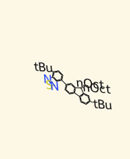 CCCCCCCCC1(CCCCCCCC)c2cc(-c3ccc(C(C)(C)C)c4nsnc34)ccc2-c2ccc(C(C)(C)C)cc21